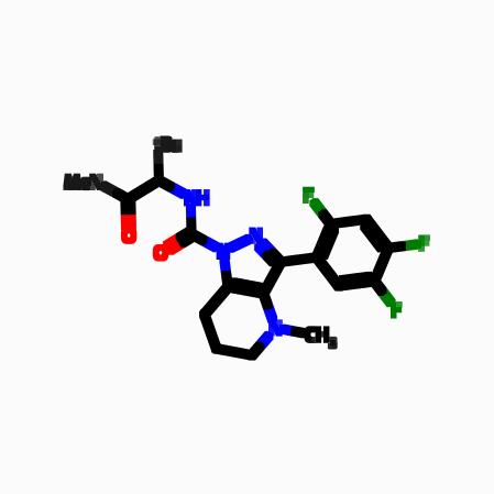 CNC(=O)C(NC(=O)n1nc(-c2cc(F)c(F)cc2F)c2c1CCCN2C)C(C)(C)C